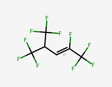 F/C(=C\C(C(F)(F)F)C(F)(F)F)C(F)(F)F